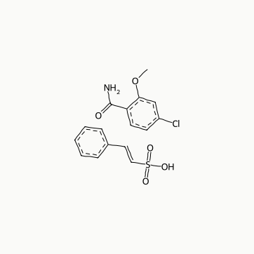 COc1cc(Cl)ccc1C(N)=O.O=S(=O)(O)/C=C/c1ccccc1